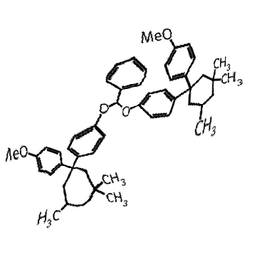 COc1ccc(C2(c3ccc(OC(Oc4ccc(C5(c6ccc(OC)cc6)CC(C)CC(C)(C)C5)cc4)c4ccccc4)cc3)CC(C)CC(C)(C)C2)cc1